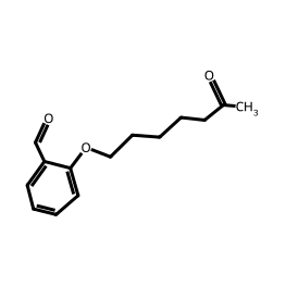 CC(=O)CCCCCOc1ccccc1C=O